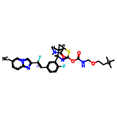 CN(C)C(=O)[C@]12C[C@H]1[C@@](C)(c1cc(/C=C(\F)c3cn4cc(C#N)ccc4n3)ccc1F)N=C(OC(=O)NCOCC[Si](C)(C)C)S2